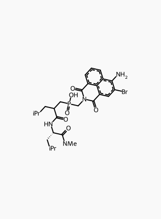 CNC(=O)[C@H](CC(C)C)NC(=O)C(CC(C)C)CP(=O)(O)CN1C(=O)c2cccc3c(N)c(Br)cc(c23)C1=O